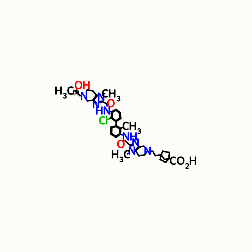 Cc1c(NC(=O)c2nc3c(n2C)CCN(CCC24CCC(C(=O)O)(CC2)C4)C3)cccc1-c1cccc(NC(=O)c2nc3c(n2C)CCN(C[C@H](C)O)C3)c1Cl